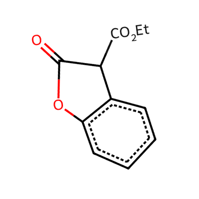 CCOC(=O)C1C(=O)Oc2ccccc21